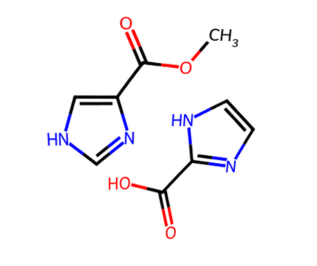 COC(=O)c1c[nH]cn1.O=C(O)c1ncc[nH]1